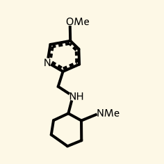 CNC1CCCCC1NCc1ccc(OC)cn1